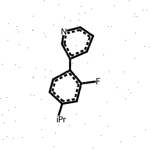 CC(C)c1ccc(-c2cccnc2)c(F)c1